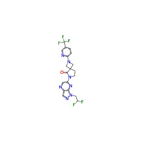 O=C1N(c2cnc3cnn(CC(F)F)c3n2)CCC12CN(c1ccc(C(F)(F)F)cn1)C2